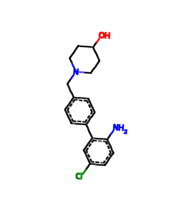 Nc1ccc(Cl)cc1-c1ccc(CN2CCC(O)CC2)cc1